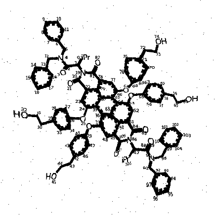 CC(C)C(C(=O)N(Cc1ccccc1)Cc1ccccc1)N1C(=O)c2cc(Oc3ccc(CCO)cc3)c3c4c(Oc5ccc(CCO)cc5)cc5c6c(cc(Oc7ccc(CCO)cc7)c(c7c(Oc8ccc(CCO)cc8)cc(c2c37)C1=O)c64)C(=O)N(C(C(=O)N(Cc1ccccc1)Cc1ccccc1)C(C)C)C5=O